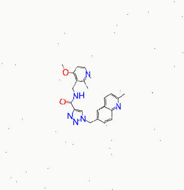 COc1ccnc(C)c1CNC(=O)c1cn(Cc2ccc3nc(C)ccc3c2)nn1